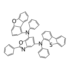 c1ccc(-c2nc3cc(N(c4ccccc4)c4cccc5c4sc4ccccc45)cc(N(c4ccccc4)c4cccc5oc6ccccc6c45)c3o2)cc1